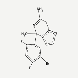 CC1(c2cc(Br)c(F)cc2F)N=C(N)Cn2nccc21